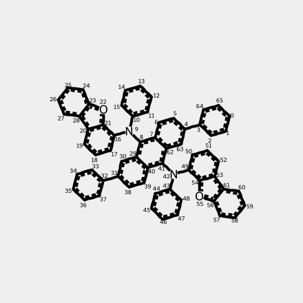 c1ccc(-c2ccc3c(N(c4ccccc4)c4cccc5c4oc4ccccc45)c4cc(-c5ccccc5)ccc4c(N(c4ccccc4)c4cccc5c4oc4ccccc45)c3c2)cc1